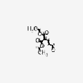 CCOC(=O)C(CCC=O)C(=O)OCC